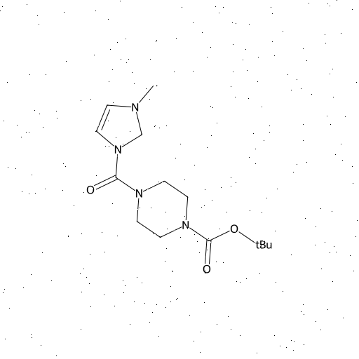 [CH2]N1C=CN(C(=O)N2CCN(C(=O)OC(C)(C)C)CC2)C1